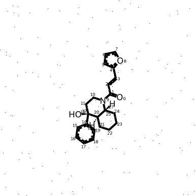 O=C(/C=C/c1ccco1)N1CC[C@@](O)(c2ccccc2)[C@@H]2CCCC[C@H]21